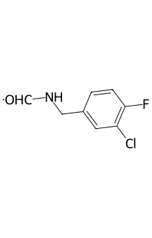 O=[C]NCc1ccc(F)c(Cl)c1